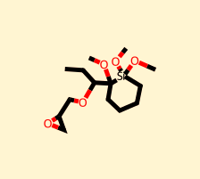 CCC(OCC1CO1)C1(OC)CCCC[Si]1(OC)OC